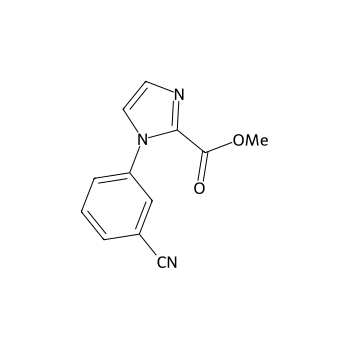 COC(=O)c1nccn1-c1cccc(C#N)c1